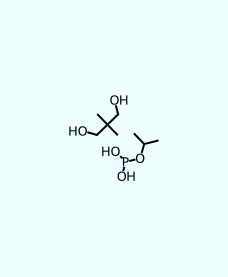 CC(C)(CO)CO.CC(C)OP(O)O